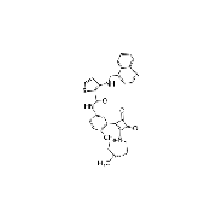 Cc1ccc(NC(=O)c2sccc2NCc2ccnc3ccccc23)cc1-c1c(N2CCCN(C)CC2)c(=O)c1=O